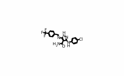 NC(=O)c1c(Nc2ccc(Cl)cc2)n[nH]c1/N=C/c1ccc(C(F)(F)F)cc1